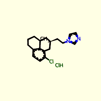 C[C@@]12CCCc3ccc(Cl)c(c31)C[C@H](CCn1ccnc1)C2.Cl